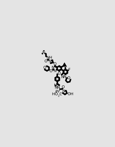 Cc1c(F)cc2c(cnn2C2CCCCO2)c1-c1c(C2CC2)cc2c(OC3CN(C(=O)NCCN(C)C)C3)nc(OC3CCOCC3)nc2c1OCc1ccc(-c2cn([C@H](C(=O)N3C[C@H](O)C[C@H]3C(=O)O)C(C)C)nn2)cc1